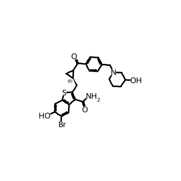 NC(=O)c1c(C[C@H]2CC2C(=O)c2ccc(CN3CCCC(O)C3)cc2)sc2cc(O)c(Br)cc12